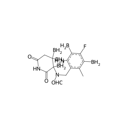 Bc1c(C)c(CN(C=O)C2(B)C(=O)NC(=O)CC2(B)B)c(N)c(B)c1F